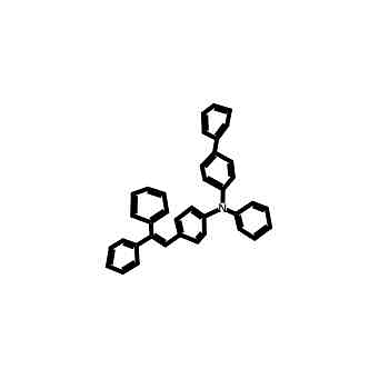 C(=C(c1ccccc1)c1ccccc1)c1ccc(N(c2ccccc2)c2ccc(-c3ccccc3)cc2)cc1